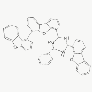 c1ccc(C2NC(c3cccc4c3oc3ccccc34)NC(c3cccc4c3oc3c(-c5cccc6oc7ccccc7c56)cccc34)N2)cc1